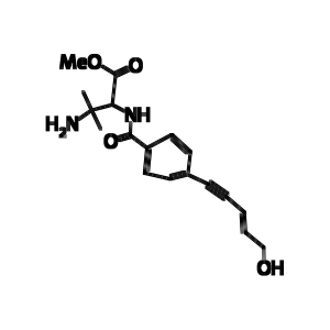 COC(=O)C(NC(=O)c1ccc(C#CC=CCO)cc1)C(C)(C)N